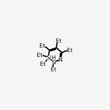 CCC1=N[SiH](CC)[Si](CC)(CC)C(CC)=C1CC